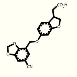 N#Cc1cc(COc2ccc3c(c2)OCC3CC(=O)O)c2c(c1)OCO2